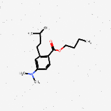 CCCCOC(=O)c1ccc(N(C)C)cc1CCC(C)C